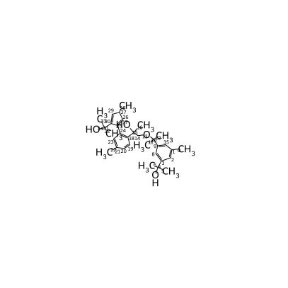 Cc1cc(C(C)(C)O)cc(C(C)(C)OCC(C)(O)c2ccc(C)cc2C2=CC(C)C=C2C(C)(C)O)c1